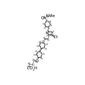 CCn1cc(-c2ccc(C(=O)NC)cc2)nc1C=Cc1ccc(-c2ccc(OCCCC(=O)O)cc2)cc1